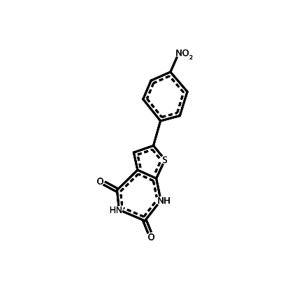 O=c1[nH]c(=O)c2cc(-c3ccc([N+](=O)[O-])cc3)sc2[nH]1